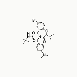 CC(C)C1Oc2ccc(Br)cc2C(OC(=O)NC(C)(C)C)N(Cc2ccc(N(C)C)cc2)C1=O